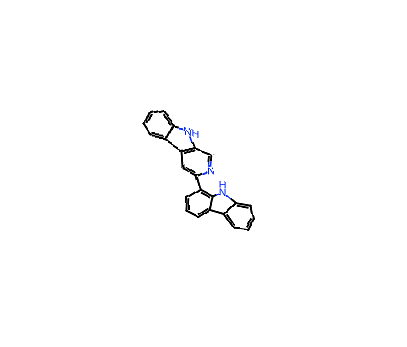 [c]1nc(-c2cccc3c2[nH]c2ccccc23)cc2c1[nH]c1ccccc12